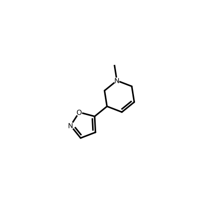 CN1CC=CC(c2ccno2)C1